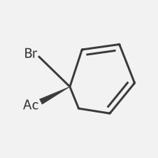 CC(=O)[C@@]1(Br)C=CC=CC1